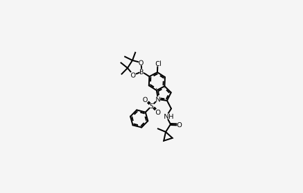 CC1(C(=O)NCc2cc3cc(Cl)c(B4OC(C)(C)C(C)(C)O4)cc3n2S(=O)(=O)c2ccccc2)CC1